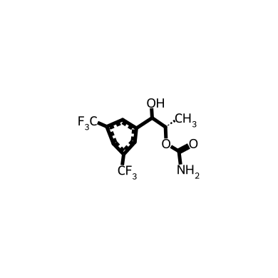 C[C@H](OC(N)=O)C(O)c1cc(C(F)(F)F)cc(C(F)(F)F)c1